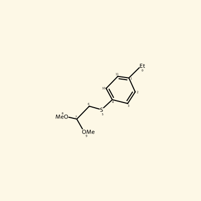 CCc1ccc(SCC(OC)OC)cc1